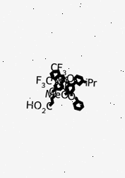 COc1cc(CN(Cc2cc(C(F)(F)F)cc(C(F)(F)F)c2)c2ncc(OCCCC(=O)O)cn2)c(-c2cc(C(C)C)ccc2OC)cc1OCc1ccccc1